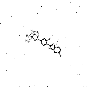 CC1(C)OB(c2ccc(-c3nc4cc(F)ccc4[nH]3)c(F)c2)OC1(C)C